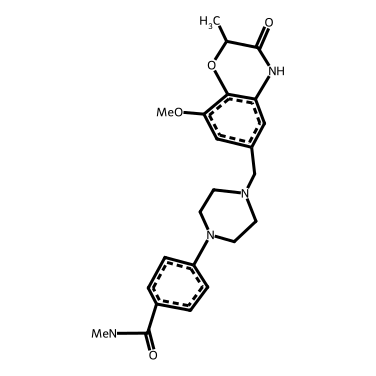 CNC(=O)c1ccc(N2CCN(Cc3cc4c(c(OC)c3)OC(C)C(=O)N4)CC2)cc1